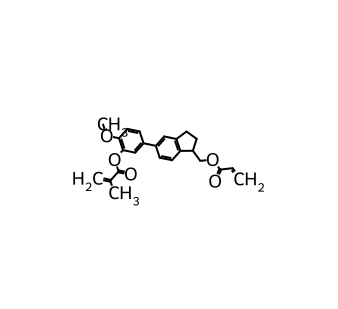 C=CC(=O)OCC1CCc2cc(-c3ccc(OC)c(OC(=O)C(=C)C)c3)ccc21